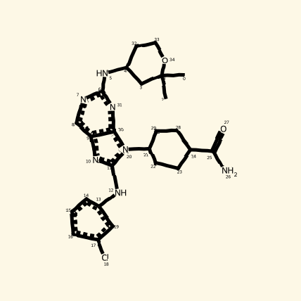 CC1(C)CC(Nc2ncc3nc(Nc4cccc(Cl)c4)n(C4CCC(C(N)=O)CC4)c3n2)CCO1